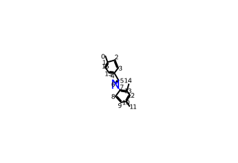 Cc1ccc(C=Nc2ccc(C)cc2C)cc1